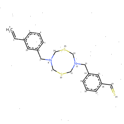 C=Cc1cccc(CN2CSCN(Cc3cccc(C=S)c3)CSC2)c1